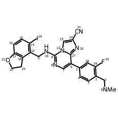 CNCc1ccc(-c2cnc(NCc3c(I)ccc4c3CCO4)n3cc(C#N)nc23)cc1F